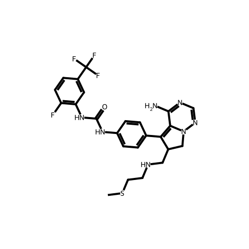 CSCCNCC1CN2N=CN=C(N)C2=C1c1ccc(NC(=O)Nc2cc(C(F)(F)F)ccc2F)cc1